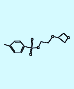 Cc1ccc(S(=O)(=O)OCCOC2COC2)cc1